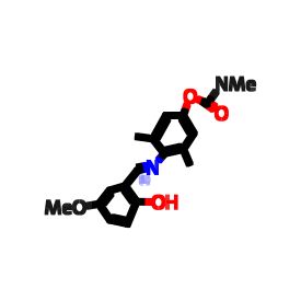 CNC(=O)Oc1cc(C)c(/N=C/c2cc(OC)ccc2O)c(C)c1